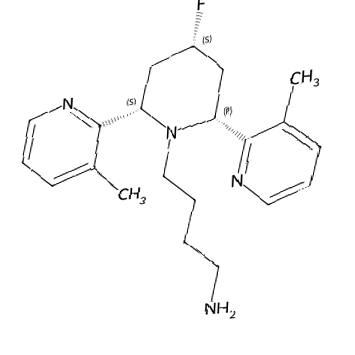 Cc1cccnc1[C@H]1C[C@@H](F)C[C@@H](c2ncccc2C)N1CCCCN